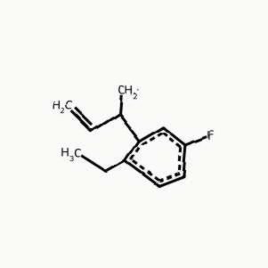 [CH2]C(C=C)c1cc(F)ccc1CC